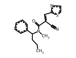 CCCC(c1ccccc1)N(C)C(=O)/C(C#N)=C/c1nccs1